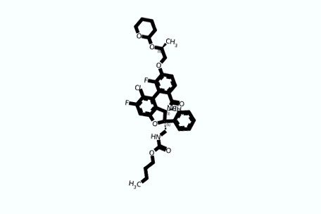 CCCCOC(=O)NC[C@]1(c2ccccc2)Oc2cc(F)c(Cl)c(-c3c(C(N)=O)ccc(OC[C@H](C)OC4CCCCO4)c3F)c2[C@@H]1C